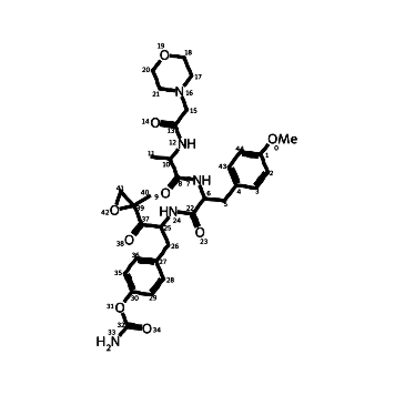 COc1ccc(CC(NC(=O)C(C)NC(=O)CN2CCOCC2)C(=O)NC(Cc2ccc(OC(N)=O)cc2)C(=O)C2(C)CO2)cc1